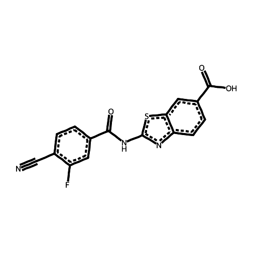 N#Cc1ccc(C(=O)Nc2nc3ccc(C(=O)O)cc3s2)cc1F